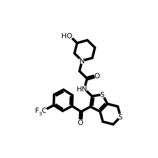 O=C(CN1CCCC(O)C1)Nc1sc2c(c1C(=O)c1cccc(C(F)(F)F)c1)CCSC2